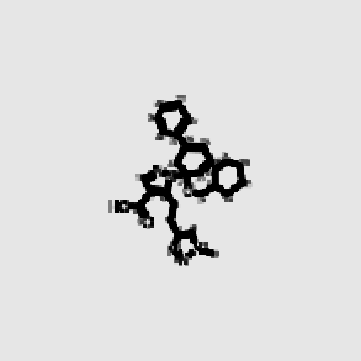 Cn1cc(CCc2c(C(=O)O)cnn2C2(OCC3CCCCC3)C=CC=C(c3ccccc3)C2)nn1